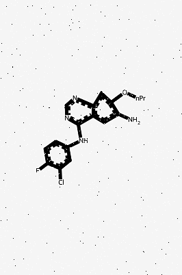 CCCOc1cc2ncnc(Nc3ccc(F)c(Cl)c3)c2cc1N